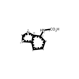 O=C(O)Nc1cccc2scnc12